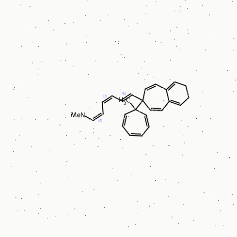 CN\C=C/C=C\C=C\C1(C2(C)C=CC=CC=C2)C=CC2=CCCC=C2C=C1